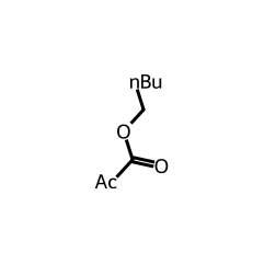 CCCCCOC(=O)C(C)=O